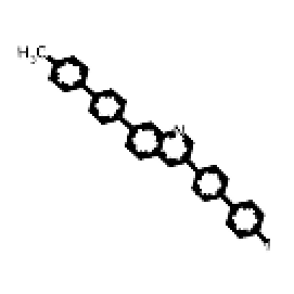 Cc1ccc(-c2ccc(-c3ccc4cc(-c5ccc(-c6ccc(I)cc6)cc5)cnc4c3)cc2)cc1